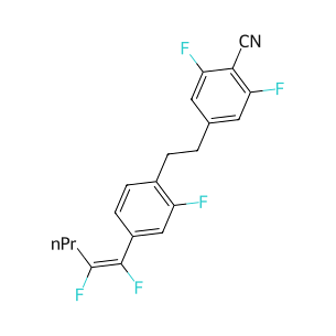 CCC/C(F)=C(/F)c1ccc(CCc2cc(F)c(C#N)c(F)c2)c(F)c1